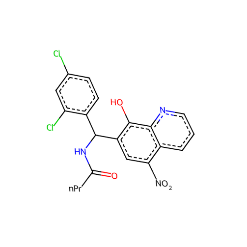 CCCC(=O)NC(c1ccc(Cl)cc1Cl)c1cc([N+](=O)[O-])c2cccnc2c1O